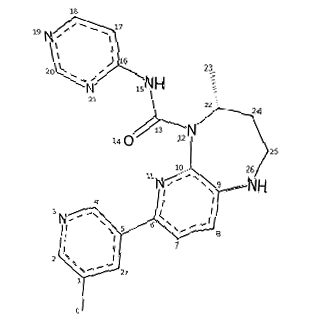 Cc1cncc(-c2ccc3c(n2)N(C(=O)Nc2ccncn2)[C@H](C)CCN3)c1